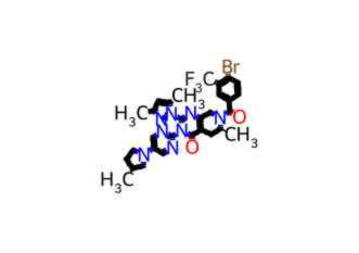 Cc1cc(C)n(-c2nc3c(c(=O)n2-c2ncc(N4CC[C@H](C)C4)cn2)C[C@@H](C)N(C(=O)c2ccc(Br)c(C(F)(F)F)c2)C3)n1